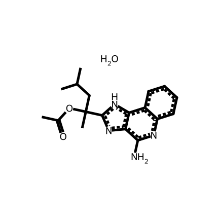 CC(=O)OC(C)(CC(C)C)c1nc2c(N)nc3ccccc3c2[nH]1.O